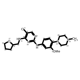 COc1cc(Nc2ncc(Cl)c(NCC3CCCO3)n2)ccc1N1CCN(C)CC1